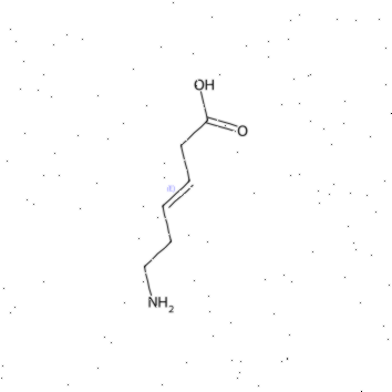 NCC/C=C/CC(=O)O